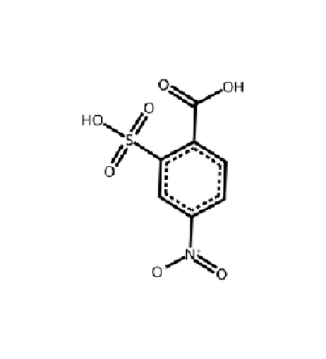 O=C(O)c1ccc([N+](=O)[O-])cc1S(=O)(=O)O